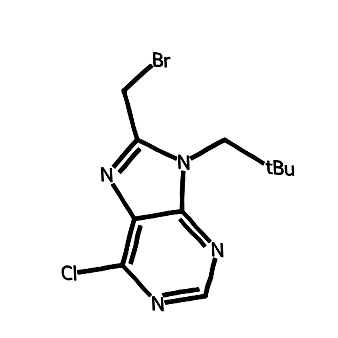 CC(C)(C)Cn1c(CBr)nc2c(Cl)ncnc21